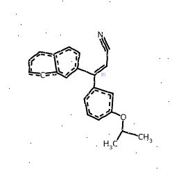 CC(C)Oc1cccc(/C(=C/C#N)c2ccc3ccccc3c2)c1